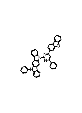 c1ccc(-c2cc(-c3ccc4c(c3)oc3ccccc34)nc(-n3c4ccccc4c4cc5c(cc43)c3ccccc3n5-c3ccccc3)n2)cc1